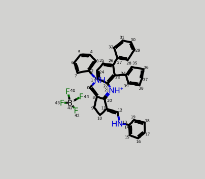 C(\Nc1ccccc1)=C1/CCC(=C\Nc2ccccc2)/C1=[NH+]/c1cccc(-c2ccccc2)c1-c1ccccc1.F[B-](F)(F)F